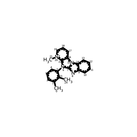 Cc1cccc(-n2c3nc4ccccc4n3c3ccc[n+](C)c32)c1C